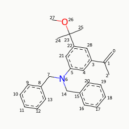 C=C(C)c1cc(N(Cc2ccccc2)Cc2ccccc2)cc(C(C)(C)OC)c1